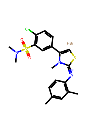 Br.Cc1ccc(/N=c2/scc(-c3ccc(Cl)c(S(=O)(=O)N(C)C)c3)n2C)c(C)c1